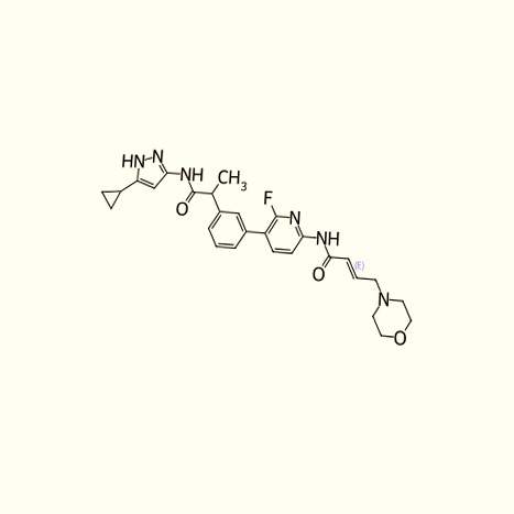 CC(C(=O)Nc1cc(C2CC2)[nH]n1)c1cccc(-c2ccc(NC(=O)/C=C/CN3CCOCC3)nc2F)c1